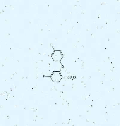 CCOC(=O)c1ccc(F)cc1Oc1ccc(F)cc1